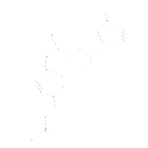 CCOC(CNC(CI)Cc1ccc(OCC(=O)OC)cc1)c1cccc(Cl)c1.Cl